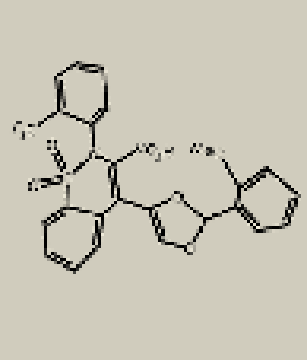 COc1ccccc1C1OC=C(C2=C(C(=O)O)N(c3ccccc3C(F)(F)F)S(=O)(=O)c3ccccc32)O1